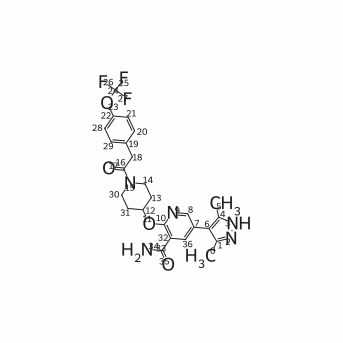 Cc1n[nH]c(C)c1-c1cnc(OC2CCN(C(=O)Cc3ccc(OC(F)(F)F)cc3)CC2)c(C(N)=O)c1